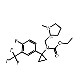 CCOC(=O)N(C[C@@H]1CCCN1C)C1(c2ccc(F)c(C(F)(F)F)c2)CC1